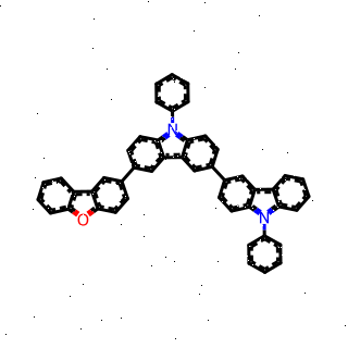 c1ccc(-n2c3ccccc3c3cc(-c4ccc5c(c4)c4cc(-c6ccc7oc8ccccc8c7c6)ccc4n5-c4ccccc4)ccc32)cc1